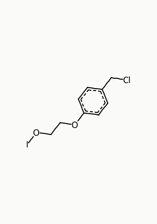 ClCc1ccc(OCCOI)cc1